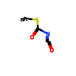 CCCSC(=O)N=C=O